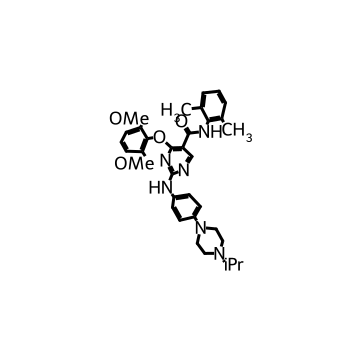 COc1cccc(OC)c1Oc1nc(Nc2ccc(N3CCN(C(C)C)CC3)cc2)ncc1C(=O)Nc1c(C)cccc1C